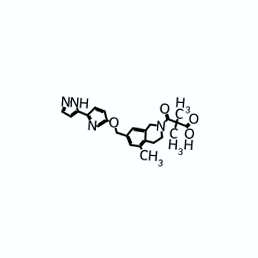 Cc1cc(COc2ccc(-c3ccn[nH]3)nc2)cc2c1CCN(C(=O)C(C)(C)C(=O)O)C2